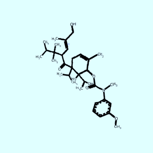 COc1cccc(N(C)C(=O)OC2C(C)=CCC(C(=O)C(/C=C(\C)CO)C(C)(C)C(C)C)(C(C)C)C2(O)C(C)O)c1